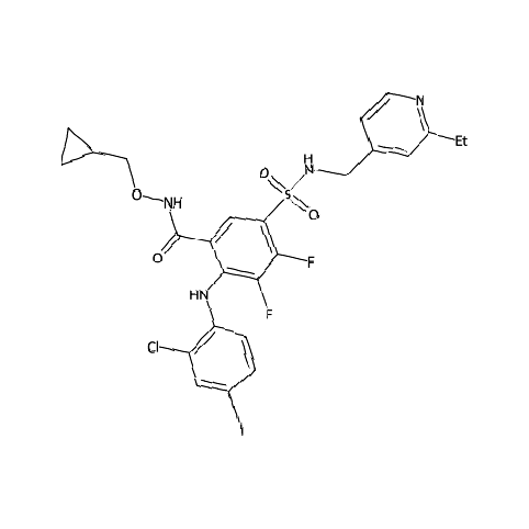 CCc1cc(CNS(=O)(=O)c2cc(C(=O)NOCC3CC3)c(Nc3ccc(I)cc3Cl)c(F)c2F)ccn1